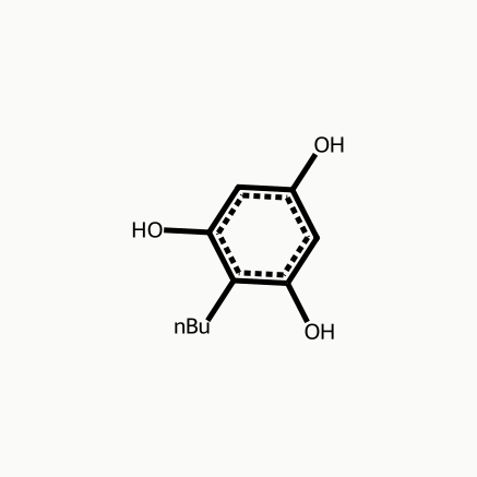 CCCCc1c(O)cc(O)cc1O